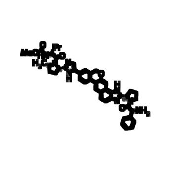 COC(=O)N[C@H](C(=O)N1[C@@H](C)CC[C@H]1c1ncc(-c2ccc3c(c2)COc2cc4c(ccc5nc([C@@H]6CCCN6C(=O)[C@H](N)c6ccccc6)[nH]c54)cc2-3)[nH]1)C(C)C